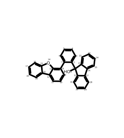 OC1(c2ccccc2-c2cccc3c2oc2ccccc23)c2ccccc2-c2ccccc21